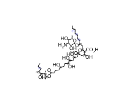 C/C=C/C=C/C=C/[C@@H](C[C@@H]1O[C@](O)(C[C@@H](O)C[C@@H](O)[C@H](O)CC[C@@H](O)CCCC(=O)O[C@@H](C)[C@H](C)[C@H](O)[C@@H](C)/C=C/C)C[C@H](O)[C@H]1C(=O)O)OC1OC(C)C(O)C(N)C1O